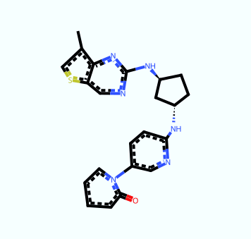 Cc1csc2cnc(N[C@H]3CC[C@H](Nc4ccc(-n5ccccc5=O)cn4)C3)nc12